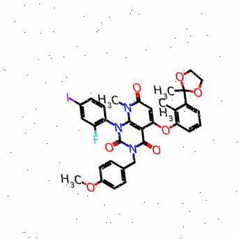 COc1ccc(Cn2c(=O)c3c(Oc4cccc(C5(C)OCCO5)c4C)cc(=O)n(C)c3n(-c3ccc(I)cc3F)c2=O)cc1